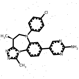 Cc1nnc2n1-c1ccc(-c3cnc(N)nc3)cc1N(c1ccc(Cl)cc1)C[C@@H]2C